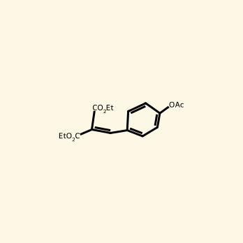 CCOC(=O)C(=Cc1ccc(OC(C)=O)cc1)C(=O)OCC